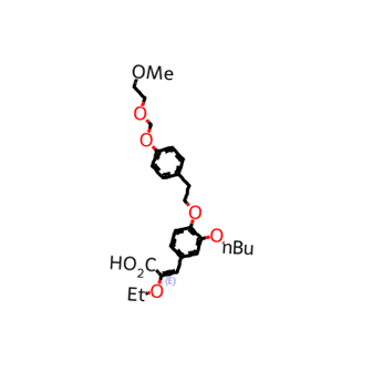 CCCCOc1cc(/C=C(/OCC)C(=O)O)ccc1OCCc1ccc(OCOCCOC)cc1